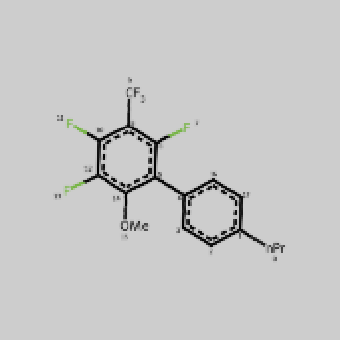 CCCc1ccc(-c2c(F)c(C(F)(F)F)c(F)c(F)c2OC)cc1